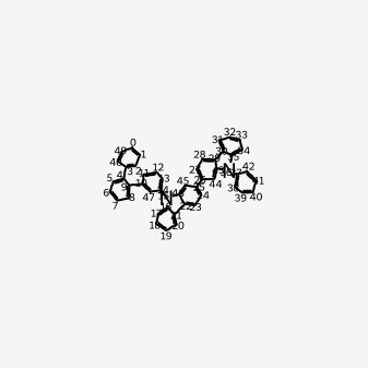 c1ccc(-c2ccccc2-c2cccc(-n3c4ccccc4c4ccc(-c5ccc6c7ccccc7n(-c7ccccc7)c6c5)cc43)c2)cc1